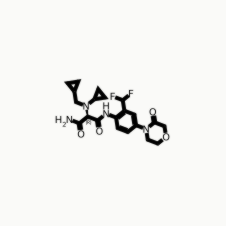 NC(=O)[C@H](C(=O)Nc1ccc(N2CCOCC2=O)cc1C(F)F)N(CC1CC1)C1CC1